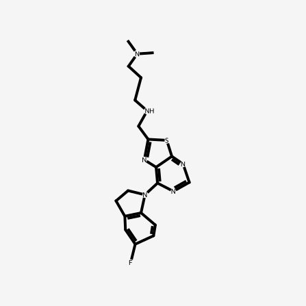 CN(C)CCCNCc1nc2c(N3CCc4cc(F)ccc43)ncnc2s1